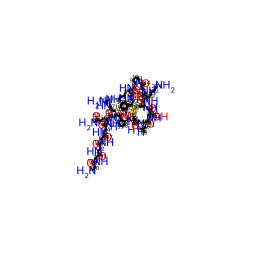 CCCC[C@H](NC(=O)[C@H]1CCCN1C(=O)CNC(=O)[C@@H](CCCCN)NC(=O)[C@H]1CSSC[C@@H](NC(=O)[C@H]2CCCC2C(=O)[C@@H](CCCNC(=N)N)NC(=O)[C@@H](CCC(N)=O)NC(=O)CNC(=O)CNC(=O)CNC(=O)CNC(=O)CN)C(=O)N[C@@H](CC(C)C)C(=O)N[C@@H](CO)C(=O)N1)C(=O)NCCc1ccccc1